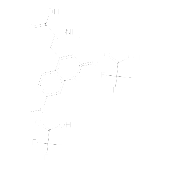 COc1ccc2c(C[C@@H](N)C(=O)O)cc(=O)oc2c1.O=C(O)C(F)(F)F.O=C(O)C(F)(F)F